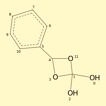 OC1(O)OC(c2ccccc2)O1